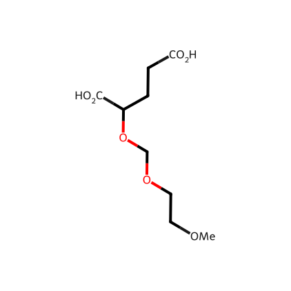 COCCOCOC(CCC(=O)O)C(=O)O